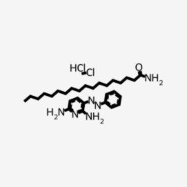 CCCCCCCCCCCCCCCCCC(N)=O.CCl.Cl.Nc1ccc(/N=N/c2ccccc2)c(N)n1